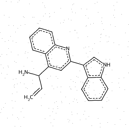 C=CC(N)c1cc(-c2c[nH]c3ccccc23)nc2ccccc12